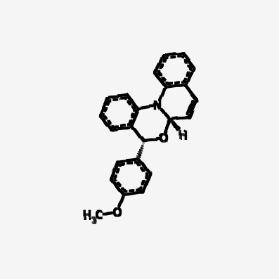 COc1ccc([C@H]2O[C@H]3C=Cc4ccccc4N3c3ccccc32)cc1